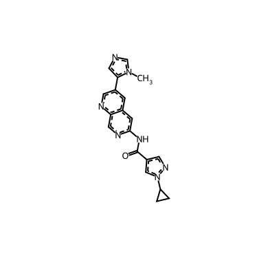 Cn1cncc1-c1cnc2cnc(NC(=O)c3cnn(C4CC4)c3)cc2c1